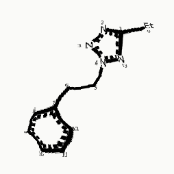 CCc1nnn(CCc2ccccc2)n1